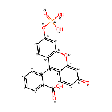 O=C(O)c1ccccc1-c1c2ccc(=O)cc-2oc2cc(OP(=O)(O)O)ccc12